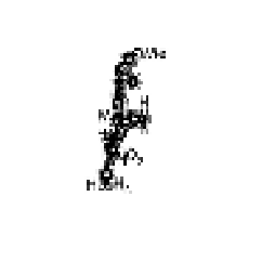 COc1ccc(CN2CC3(C2)CN(C2CC4(CCN(c5ccc(C(=O)NS(=O)(=O)c6cnc(NCC7CCC(C)(O)CC7)c([N+](=O)[O-])c6)c(Oc6cc7c(F)c[nH]c7nc6OC)c5)CC4)C2)[C@@H]3c2ccccc2C(C)C)cc1